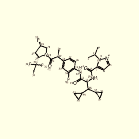 CC(C)n1nccc1C(=O)N[C@H](C(=O)Nc1ccc([C@H](C)C(=O)N2C[C@H](F)C[C@H]2C(F)(F)F)cc1F)C(C1CC1)C1CC1